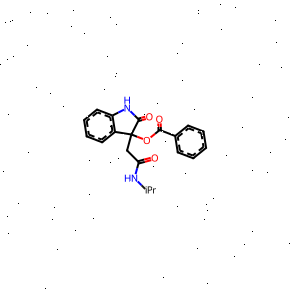 CC(C)NC(=O)CC1(OC(=O)c2ccccc2)C(=O)Nc2ccccc21